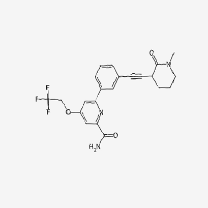 CN1CCCC(C#Cc2cccc(-c3cc(OCC(F)(F)F)cc(C(N)=O)n3)c2)C1=O